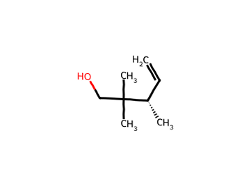 C=C[C@H](C)C(C)(C)CO